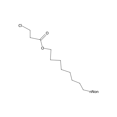 CCCCCCCCCCCCCCCCCOC(=O)CCCl